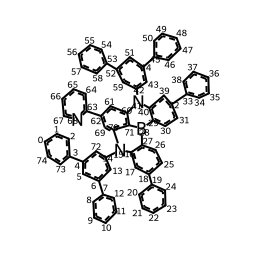 c1ccc(-c2cc(-c3ccccc3)cc(N3c4cc(-c5ccccc5)ccc4B4c5ccc(-c6ccccc6)cc5N(c5cc(-c6ccccc6)cc(-c6ccccc6)c5)c5cc(-c6ccccn6)cc3c54)c2)cc1